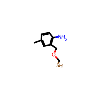 Cc1ccc(N)c(COCS)c1